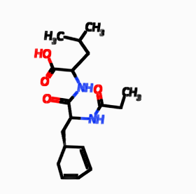 CCC(=O)NC(C[C@H]1C=CC=CC1)C(=O)NC(CC(C)C)C(=O)O